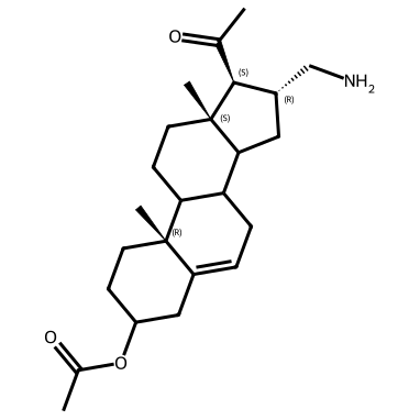 CC(=O)OC1CC[C@@]2(C)C(=CCC3C2CC[C@@]2(C)C3C[C@@H](CN)[C@@H]2C(C)=O)C1